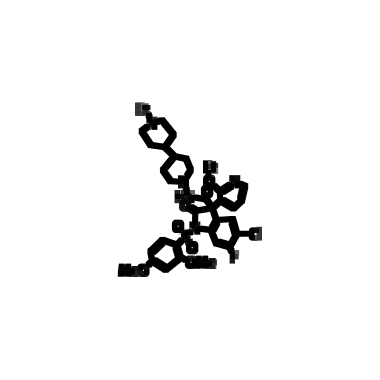 CCOc1ncccc1C1(C(=O)NN2CCC(C3CCN(CC)CC3)CC2)C(=O)N(S(=O)(=O)c2ccc(OC)cc2OC)c2cc(F)c(Cl)cc21